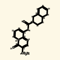 CCOC(=O)c1cnc2c(SC(=O)N3CCC4CC=CC=C4C3)cccn2c1=O